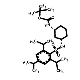 CC(C)c1cc(C(C)C)c(S(=O)(=O)N[C@H]2CCC[C@@H](NC(=O)OC(C)(C)C)C2)c(C(C)C)c1